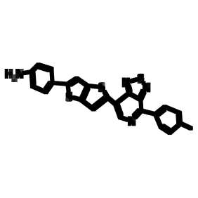 Cc1ccc(-c2ncc(-c3cc4sc(-c5ccc(N)cc5)cc4s3)c3nsnc23)cc1